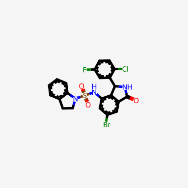 O=C1NC(c2cc(F)ccc2Cl)c2c(NS(=O)(=O)N3CCc4ccccc43)cc(Br)cc21